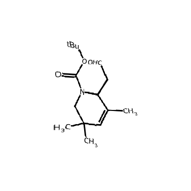 CC1=CC(C)(C)CN(C(=O)OC(C)(C)C)C1CC=O